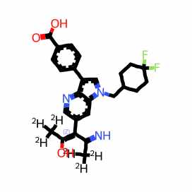 [2H]C([2H])([2H])C(=N)/C(=C(\O)C([2H])([2H])[2H])c1cnc2c(-c3ccc(C(=O)O)cc3)cn(CC3CCC(F)(F)CC3)c2c1